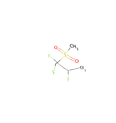 CS(=O)(=O)C(F)(F)C(F)C(F)(F)F